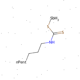 CCCCCCCCNC(=S)[S][SbH2]